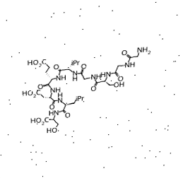 CC(C)C[C@H](NC(=O)[C@H](CC(=O)O)NC(=O)[C@H](CCC(=O)O)NC(=O)[C@@H](NC(=O)CNC(=O)[C@H](CO)NC(=O)CNC(=O)CN)C(C)C)C(=O)N[C@@H](CO)C(=O)O